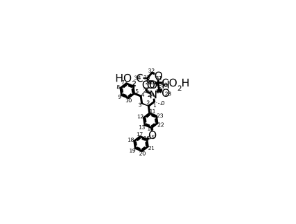 C[C@H]([C@H](CCc1ccccc1)c1ccc(Oc2ccccc2)cc1)N(CC(=O)O)C(=O)C1(C(=O)O)OC[C@H](C(=O)O)O1